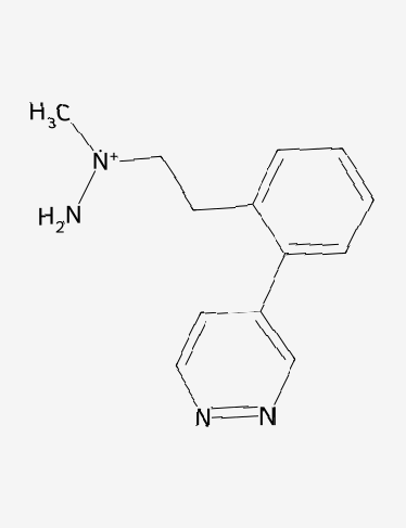 C[N+](N)CCc1ccccc1-c1ccnnc1